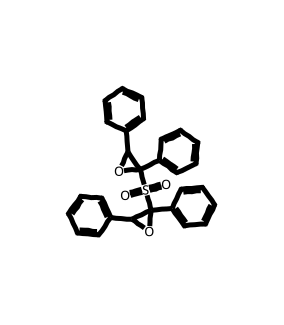 O=S(=O)(C1(c2ccccc2)OC1c1ccccc1)C1(c2ccccc2)OC1c1ccccc1